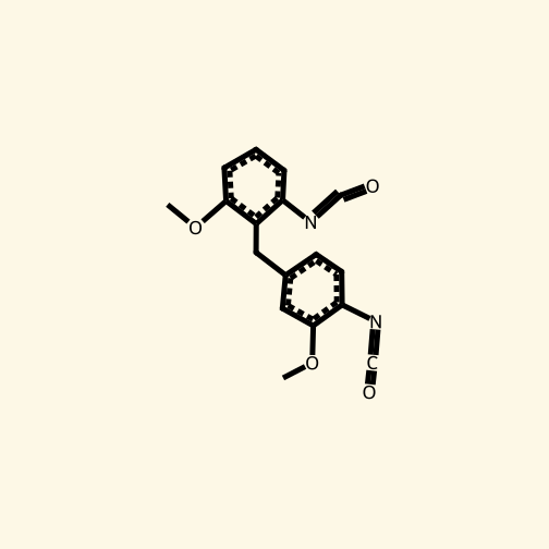 COc1cc(Cc2c(N=C=O)cccc2OC)ccc1N=C=O